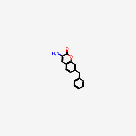 Nc1cc2ccc(Cc3ccccc3)cc2oc1=O